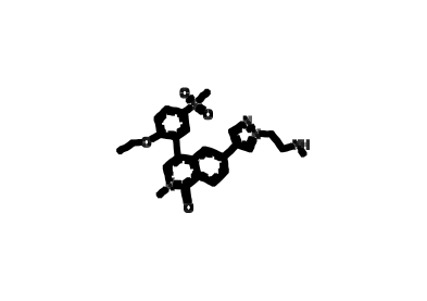 CCOc1ccc(S(C)(=O)=O)cc1-c1cn(C)c(=O)c2ccc(-c3cnn(CCNC)c3)cc12